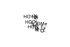 CO[C@@H]1[C@@H](n2cc(-c3ccc(C)c(F)c3F)nn2)[C@@H](O)[C@@H](CO)O[C@@H]1Cc1cn(C(C)(C)CO)nn1